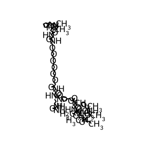 CCCN(CC[C@@H](C)C(=O)N[C@H](C)[C@@H](O)c1ccccc1)C(=O)C[C@@H](C)CN(C)C(=O)[C@@H](NC(=O)CN(C)C(=O)OCc1ccc(NC(=O)[C@H](CCCNC(N)=O)NC(=O)CNC(=O)CCOCCOCCOCCOCCOCCOCCNC(=O)CNC(=O)CCn2c(CN(C)NC)cc3ccccc32)cc1)C(C)C